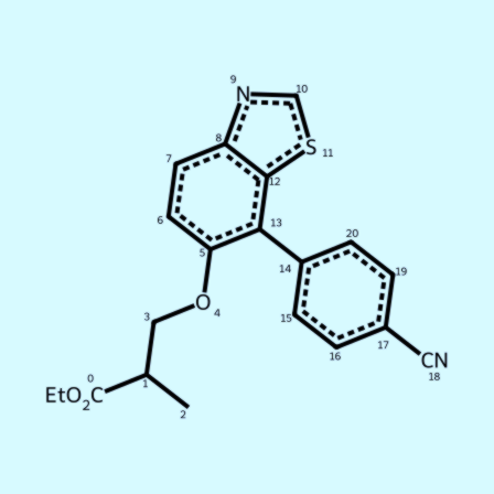 CCOC(=O)C(C)COc1ccc2ncsc2c1-c1ccc(C#N)cc1